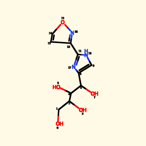 OCC(O)C(O)C(O)c1c[nH]c(-c2ccon2)n1